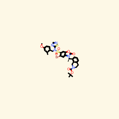 COc1ccc(CN(c2ncns2)S(=O)(=O)c2cc3oc(=O)n([C@H](C)c4cccc5c4CN(C(=O)OC(C)(C)C)CC5)c3cc2Br)c(C)c1